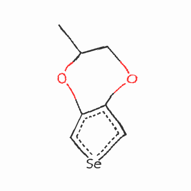 CC1COc2c[se]cc2O1